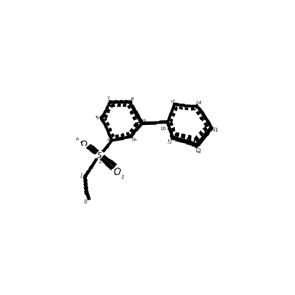 CCS(=O)(=O)c1cccc(-c2ccccc2)c1